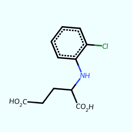 O=C(O)CCC(Nc1ccccc1Cl)C(=O)O